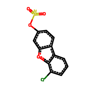 O=[SH](=O)Oc1ccc2c(c1)oc1c(Cl)cccc12